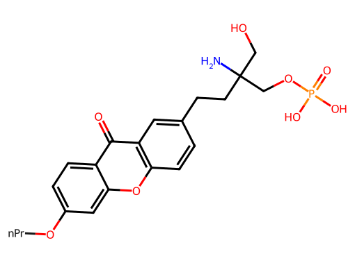 CCCOc1ccc2c(=O)c3cc(CCC(N)(CO)COP(=O)(O)O)ccc3oc2c1